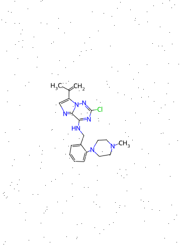 C=C(C)c1cnc2c(NCc3ccccc3N3CCN(C)CC3)nc(Cl)nn12